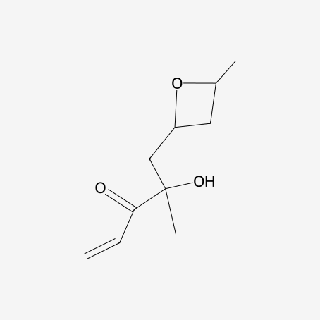 C=CC(=O)C(C)(O)CC1CC(C)O1